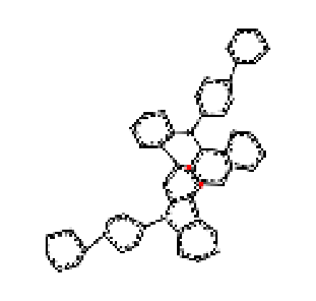 c1ccc(-c2ccc(N(c3ccccc3-c3ccc4c5ccccc5n(-c5ccc(-c6ccccc6)cc5)c4c3)c3cccc4ccccc34)cc2)cc1